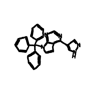 c1ccc(C(c2ccccc2)(c2ccccc2)n2ccc3c(-c4cn[nH]c4)ncnc32)cc1